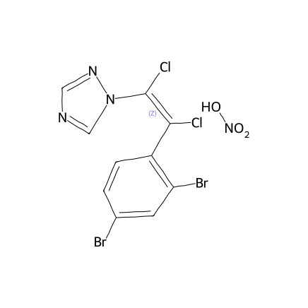 Cl/C(=C(\Cl)n1cncn1)c1ccc(Br)cc1Br.O=[N+]([O-])O